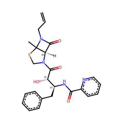 C=CCN1C(=O)[C@H]2N(C(=O)[C@@H](O)[C@H](Cc3ccccc3)NC(=O)c3ccccn3)CSC21C